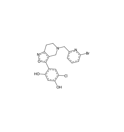 Oc1cc(O)c(-c2onc3c2CN(Cc2cccc(Br)n2)CC3)cc1Cl